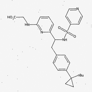 CCCCC1(c2ccc(CC(NS(=O)(=O)c3ccncc3)c3cccc(NCC(=O)O)n3)cc2)CC1